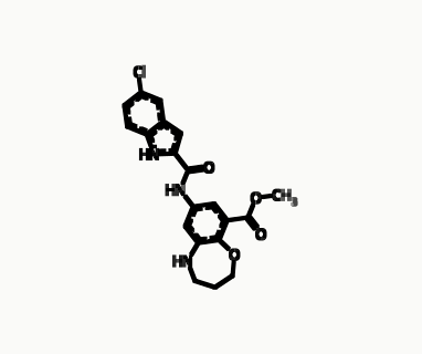 COC(=O)c1cc(NC(=O)c2cc3cc(Cl)ccc3[nH]2)cc2c1OCCCN2